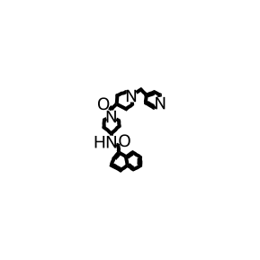 O=C(NC1CCN(C(=O)C2CCN(Cc3ccncc3)CC2)CC1)c1cccc2ccccc12